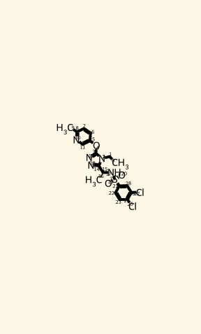 CCn1c(Oc2ccc(C)nc2)nnc1[C@@H](C)NS(=O)(=O)c1ccc(Cl)c(Cl)c1